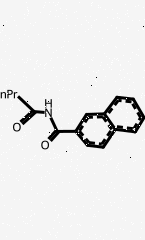 CCCC(=O)NC(=O)c1ccc2ccccc2c1